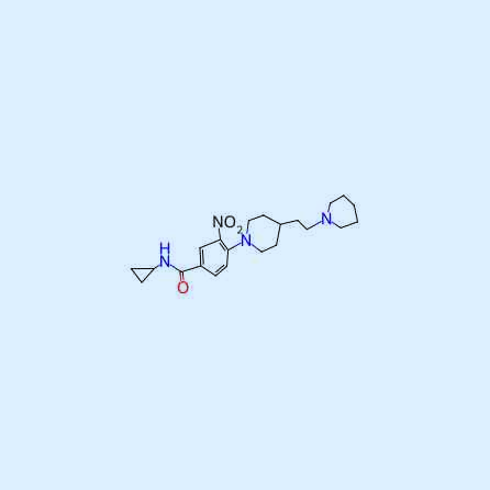 O=C(NC1CC1)c1ccc(N2CCC(CCN3CCCCC3)CC2)c([N+](=O)[O-])c1